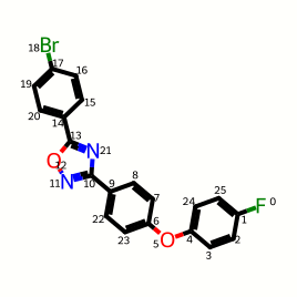 Fc1ccc(Oc2ccc(-c3noc(-c4ccc(Br)cc4)n3)cc2)cc1